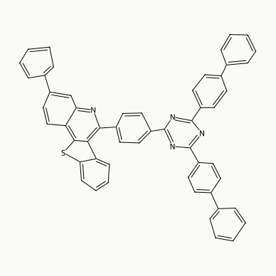 c1ccc(-c2ccc(-c3nc(-c4ccc(-c5ccccc5)cc4)nc(-c4ccc(-c5nc6cc(-c7ccccc7)ccc6c6sc7ccccc7c56)cc4)n3)cc2)cc1